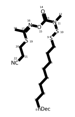 CCCCCCCCCCCCCCCCCCSSN(C)C(=O)ON=C(C)SCCC#N